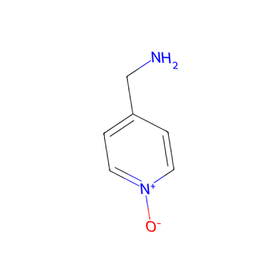 NCc1cc[n+]([O-])cc1